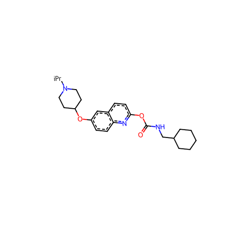 CC(C)N1CCC(Oc2ccc3nc(OC(=O)NCC4CCCCC4)ccc3c2)CC1